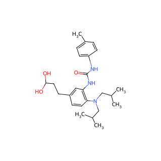 Cc1ccc(NC(=O)Nc2cc(CCC(O)O)ccc2N(CC(C)C)CC(C)C)cc1